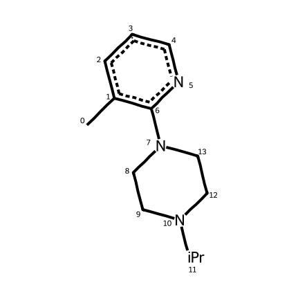 Cc1c[c]cnc1N1CCN(C(C)C)CC1